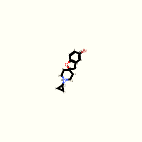 Brc1ccc2c(c1)CC1(CCN(C3CC3)CC1)O2